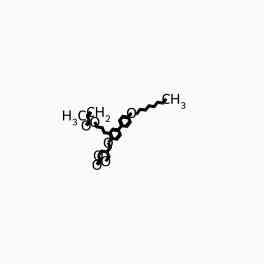 C=C(C)C(=O)OCCCc1cc(-c2ccc(OCCCCCCCC)cc2)ccc1OCC1COC(=O)OC1